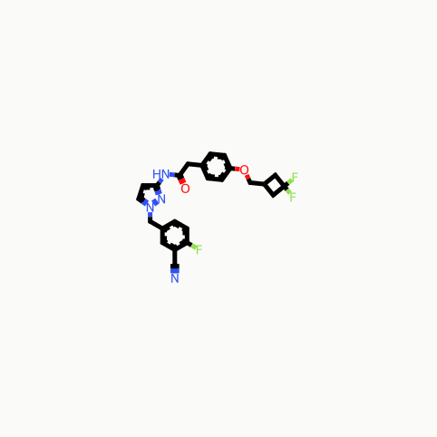 N#Cc1cc(Cn2ccc(NC(=O)Cc3ccc(OCC4CC(F)(F)C4)cc3)n2)ccc1F